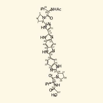 CC(=O)N[C@@H](C(=O)N1CCCC1c1ncc(-c2nc3cc4nc(-c5ccc6nc(C7CCCN7C(=O)[C@@H](NC(=O)CO)C(C)C)[nH]c6c5)[nH]c4cc3[nH]2)[nH]1)C(C)C